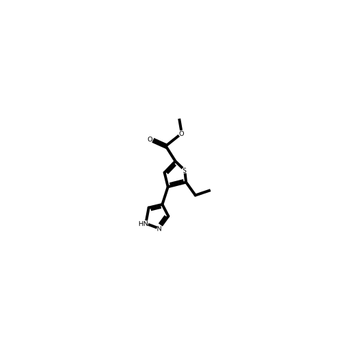 CCc1sc(C(=O)OC)cc1-c1cn[nH]c1